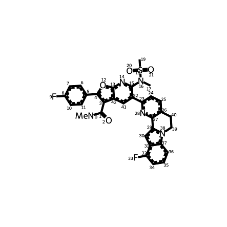 CNC(=O)c1c(-c2ccc(F)cc2)oc2nc(N(C)S(C)(=O)=O)c(-c3ccc4c(n3)-c3cc5c(F)cccc5n3CC4)cc12